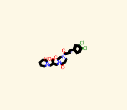 O=C(O)C(CN1CCCCC1)CN1CCN(C(=O)/C=C/c2ccc(Cl)c(Cl)c2)CCC1=O